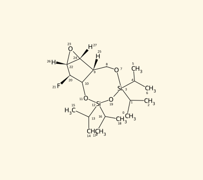 CC(C)[Si]1(C(C)C)OC[C@@H]2C(O[Si](C(C)C)(C(C)C)O1)[C@@H](F)[C@@H]1O[C@@H]12